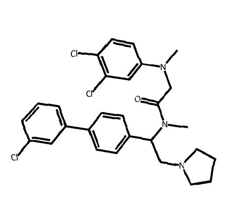 CN(CC(=O)N(C)C(CN1CCCC1)c1ccc(-c2cccc(Cl)c2)cc1)c1ccc(Cl)c(Cl)c1